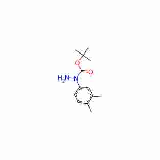 Cc1ccc(N(N)C(=O)OC(C)(C)C)cc1C